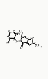 Cc1nc2nn(C)cc2c(=O)n1Cc1c(F)cccc1F